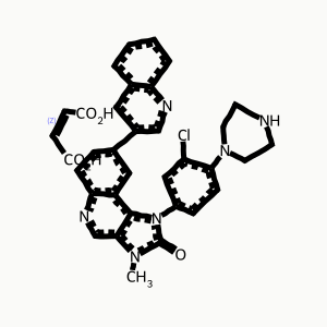 Cn1c(=O)n(-c2ccc(N3CCNCC3)c(Cl)c2)c2c3cc(-c4cnc5ccccc5c4)ccc3ncc21.O=C(O)/C=C\C(=O)O